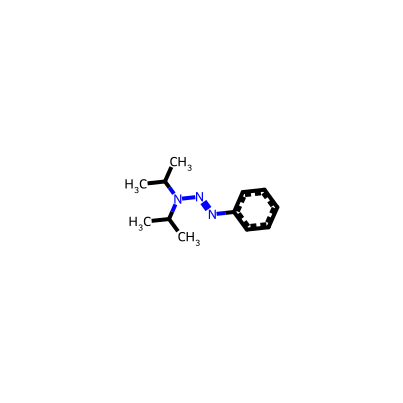 CC(C)N(N=Nc1ccccc1)C(C)C